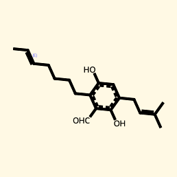 C/C=C/CCCCc1c(O)cc(CC=C(C)C)c(O)c1C=O